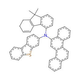 CC1(C)C2=C(C=CCC2)c2c(N(c3ccc4c(c3)sc3ccccc34)c3cc4c5ccccc5ccc4c4ccccc34)cccc21